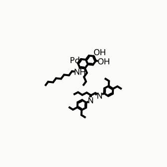 CCCCC(C=Nc1ccc(CC)c(CC)c1)=Nc1ccc(CC)c(CC)c1.CCCCCCCCNc1ccc2cc(O)c(O)cc2c1CCCC.[Pd]